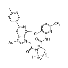 CC(=O)c1cn(CC(=O)N2[C@H](C(=O)Nc3nc(C(F)(F)F)ccc3Cl)C[C@@]3(C)C[C@@H]23)c2c(C)nc(-c3cnc(C)nc3)cc12